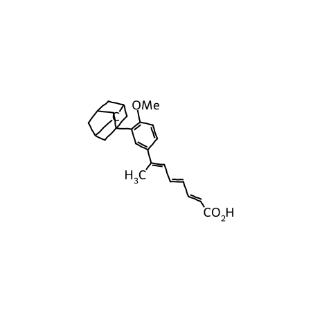 COc1ccc(C(C)=CC=CC=CC(=O)O)cc1C12CC3CC(CC(C3)C1)C2